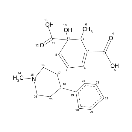 CC1C(C(=O)O)=CC=CC1(O)C(=O)O.CN1CCC(c2ccccc2)CC1